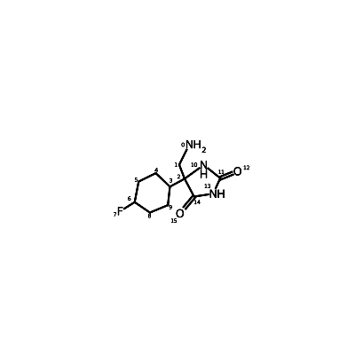 NCC1(C2CCC(F)CC2)NC(=O)NC1=O